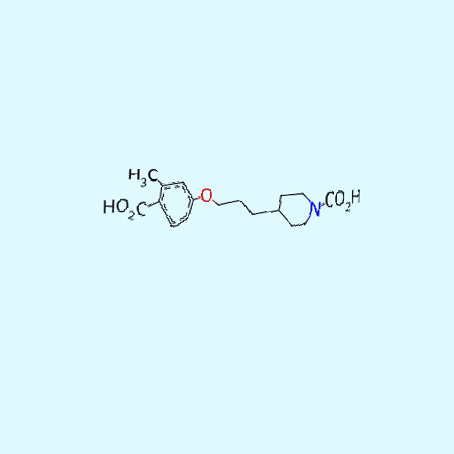 Cc1cc(OCCCC2CCN(C(=O)O)CC2)ccc1C(=O)O